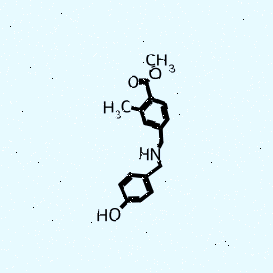 COC(=O)c1ccc(CNCc2ccc(O)cc2)cc1C